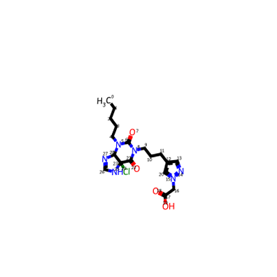 CCCCCN1C(=O)N(CCCc2cnn(CC(=O)O)c2)C(=O)C2(Cl)NC=NC12